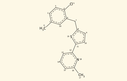 Cc1ccc(Cl)c(Cc2ccc(-c3cccc(C)n3)s2)c1